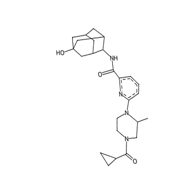 CC1CN(C(=O)C2CC2)CCN1c1cccc(C(=O)NC2C3CC4CC2CC(O)(C4)C3)n1